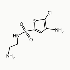 NCCNS(=O)(=O)c1cc(N)c(Cl)s1